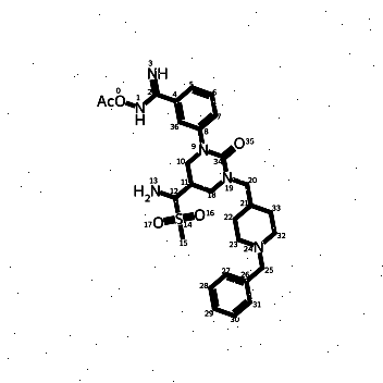 CC(=O)ONC(=N)c1cccc(N2CC(C(N)S(C)(=O)=O)CN(CC3CCN(Cc4ccccc4)CC3)C2=O)c1